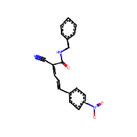 N#CC(=CC=Cc1ccc([N+](=O)[O-])cc1)C(=O)NCc1ccccc1